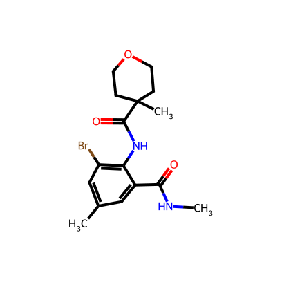 CNC(=O)c1cc(C)cc(Br)c1NC(=O)C1(C)CCOCC1